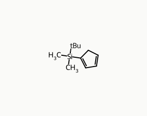 CC(C)(C)[Si](C)(C)C1=CC=CC1